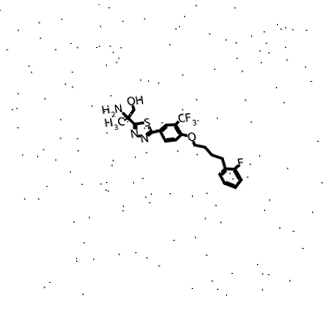 C[C@](N)(CO)c1nnc(-c2ccc(OCCCCc3ccccc3F)c(C(F)(F)F)c2)s1